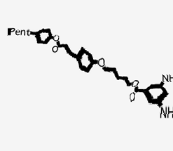 CCCCCc1ccc(OC(=O)C=Cc2ccc(OCCCCCOC(=O)c3cc(N)cc(N)c3)cc2)cc1